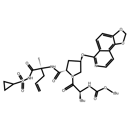 C=CC[C@](C)(NC(=O)[C@@H]1C[C@@H](Oc2nccc3c4c(ccc23)OCO4)CN1C(=O)[C@@H](NC(=O)OC(C)(C)C)C(C)(C)C)C(=O)NS(=O)(=O)C1CC1